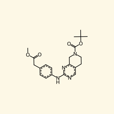 COC(=O)Cc1ccc(Nc2ncc3c(n2)CN(C(=O)OC(C)(C)C)CC3)cc1